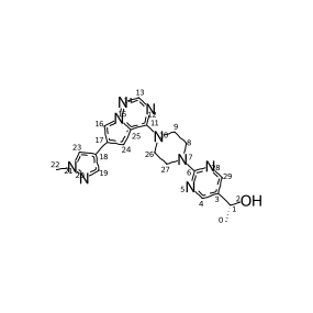 C[C@@H](O)c1cnc(N2CCN(c3ncnn4cc(-c5cnn(C)c5)cc34)CC2)nc1